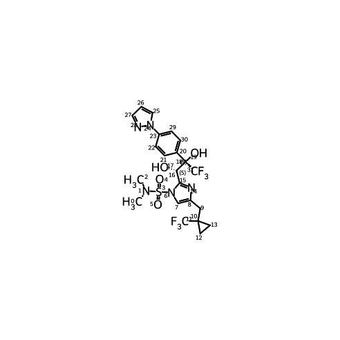 CN(C)S(=O)(=O)n1cc(CC2(C(F)(F)F)CC2)nc1[C@H](O)[C@@](O)(c1ccc(-n2cccn2)cc1)C(F)(F)F